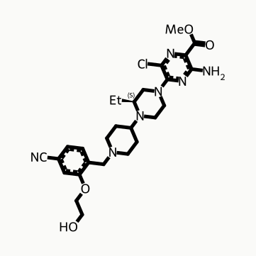 CC[C@H]1CN(c2nc(N)c(C(=O)OC)nc2Cl)CCN1C1CCN(Cc2ccc(C#N)cc2OCCO)CC1